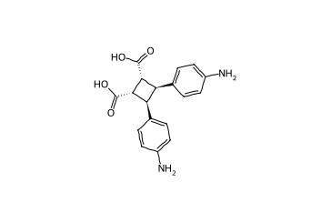 Nc1ccc([C@@H]2[C@@H](C(=O)O)[C@@H](C(=O)O)[C@@H]2c2ccc(N)cc2)cc1